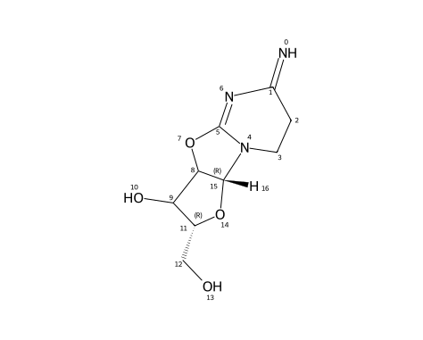 N=C1CCN2C(=N1)OC1C(O)[C@@H](CO)O[C@H]12